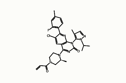 C=CC(=O)N1CCN(c2nc(=O)n(-c3c(C)cnn3C(C)C)c3nc(-c4ccc(C)cc4F)c(Cl)cc23)[C@@H](C)C1